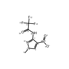 Cn1cc([N+](=O)[O-])c(NC(=O)C(F)(F)F)n1